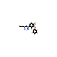 C=CCCC[C@H](N)c1ccc(F)c(Oc2ccccc2)c1F